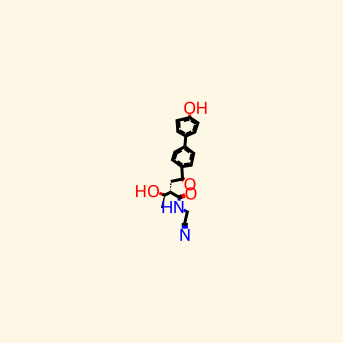 C[C@@H](O)[C@H](CC(=O)c1ccc(-c2ccc(O)cc2)cc1)C(=O)NCC#N